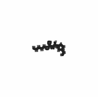 C[CH]C1CCN(C(C)=NC(=O)OCCCCC)C1